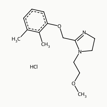 COCCN1CCN=C1COc1cccc(C)c1C.Cl